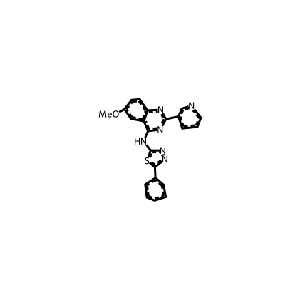 COc1ccc2nc(-c3cccnc3)nc(Nc3nnc(-c4ccccc4)s3)c2c1